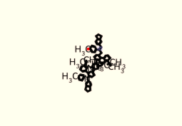 Cc1ccc(/C(=C\c2ccc3c(c2)CCC3)Cc2ccc3c4cc(c5c(C(C)(C)C)cccc5c24)Cc2cc4c5ccc(N(c6ccc(C)cc6)c6ccc7c(c6)CCC7)c6c7cccc(C(C)(C)C)c7n(c4cc2-3)c56)cc1